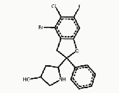 OC1CNC(C2(c3ccccc3)Cc3c(cc(F)c(Cl)c3Br)O2)C1